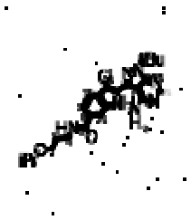 CC(C)OCCCNC(=O)c1ccc2c(Cl)c(-c3nn(C(C)(C)C)c4ncnc(N)c34)[nH]c2c1